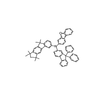 CC1(C)CC(C)(C)c2cc3c(cc21)-c1cc(N(c2ccc4c(c2)C(c2ccccc2)(c2ccccc2)c2ccccc2-4)c2ccc4c(c2)oc2ccccc24)ccc1C3(C)C